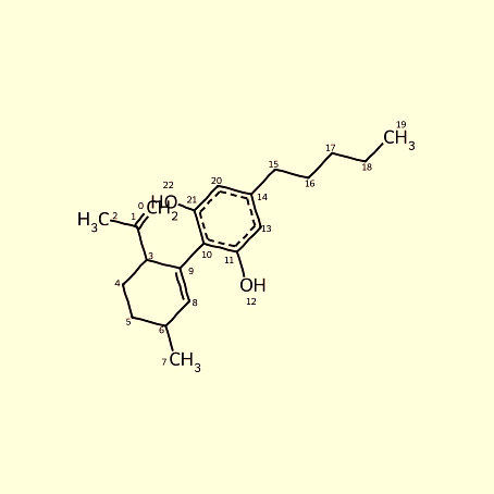 C=C(C)C1CCC(C)C=C1c1c(O)cc(CCCCC)cc1O